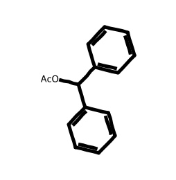 CC(=O)OC(c1ccccc1)c1ccccc1